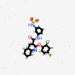 O=C(Nc1cccc(N[SH](=O)=O)c1)c1cc2ccccc2nc1Oc1ccc(F)cc1Cl